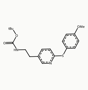 COc1ccc(Sc2ccc(CCNC(=O)OC(C)(C)C)cn2)cc1